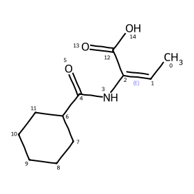 C/C=C(/NC(=O)C1CCCCC1)C(=O)O